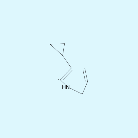 [C]1=C(C2CC2)C=CCN1